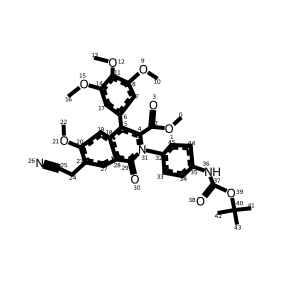 COC(=O)c1c(-c2cc(OC)c(OC)c(OC)c2)c2cc(OC)c(CC#N)cc2c(=O)n1-c1ccc(NC(=O)OC(C)(C)C)cc1